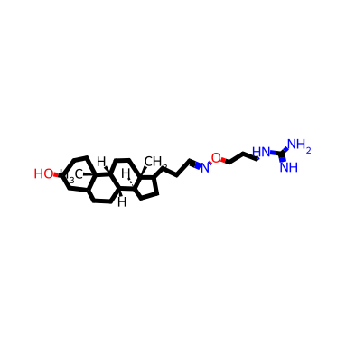 C[C@]12CCC(O)CC1CC[C@@H]1[C@H]2CC[C@]2(C)C(CCC=NOCCCNC(=N)N)CC[C@@H]12